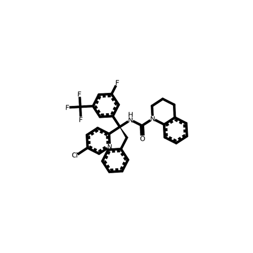 O=C(N[C@@](Cc1ccccc1)(c1cc(F)cc(C(F)(F)F)c1)c1ccc(Cl)cn1)N1CCCc2ccccc21